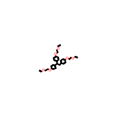 C=COCCOc1ccc(CC(c2ccc(OCCOC=C)cc2)c2ccc(OCCOC=C)cc2)cc1